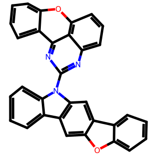 c1ccc2c(c1)Oc1cccc3nc(-n4c5ccccc5c5cc6oc7ccccc7c6cc54)nc-2c13